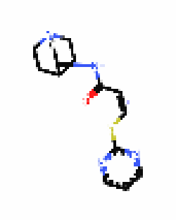 O=C(/C=C\Sc1ncccn1)NC1CN2CCC1CC2